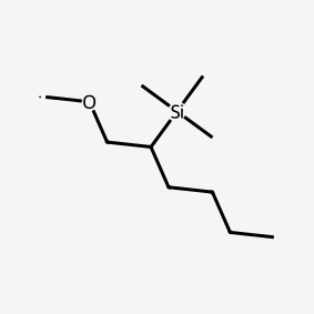 [CH2]OCC(CCCC)[Si](C)(C)C